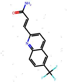 NC(=O)C=Cc1ccc2cc(C(F)(F)F)ccc2n1